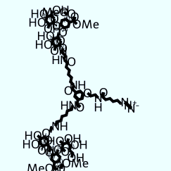 COC(=O)C1C[C@H](OCC2O[C@@H](OCCNCCCCCCNC(=O)c3cc(OCCNC(=O)CCCCCN=[N+]=[N-])cc(C(=O)NCCCCCC(=O)NCCO[C@H]4OC(CO[C@H]5CC(C(=O)OC)[C@@H](C(=O)OC)CC5O[C@@H]5OC(CO)[C@@H](O)C(O)C5O)[C@@H](O)[C@H](O)C4O)c3)C(O)[C@@H](O)[C@@H]2O)C(O[C@H]2OC(CO)[C@@H](O)C(O)C2O)C[C@@H]1C(=O)OC